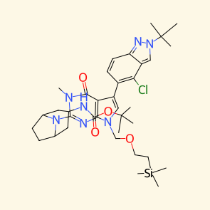 Cn1c(N2C3CCC2CC(NC(=O)OC(C)(C)C)C3)nc2c(c(-c3ccc4nn(C(C)(C)C)cc4c3Cl)cn2COCC[Si](C)(C)C)c1=O